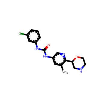 Cc1cc(NC(=O)Nc2cccc(Cl)c2)cnc1C1CNCCO1